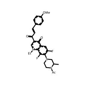 CCn1cc(C(=O)C=Cc2ccc(OC)cc2)c(=O)c2cc(F)c(N3CCN(C(C)=O)C(C)C3)c(F)c21